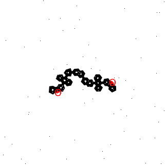 c1cc(-c2ccc3ccc(-c4ccc5ccc(-c6c7ccccc7c(-c7ccc8oc9ccccc9c8c7)c7ccccc67)cc5c4)cc3c2)cc(-c2c3ccccc3c(-c3ccc4oc5ccccc5c4c3)c3ccccc23)c1